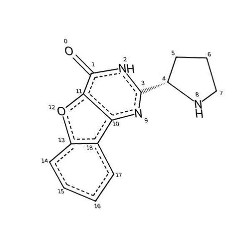 O=c1[nH]c([C@@H]2CCCN2)nc2c1oc1ccccc12